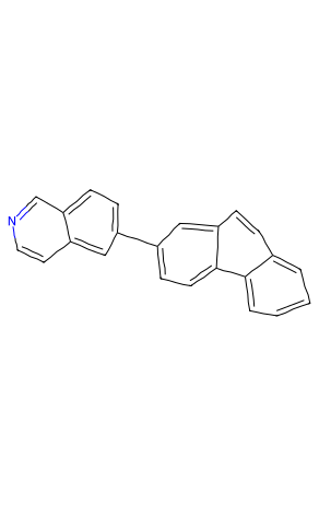 c1ccc2c(c1)ccc1cc(-c3ccc4cnccc4c3)ccc12